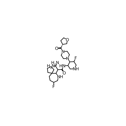 NC(N)C(C(=O)NC1CNCC(F)C1N1CCN(C(=O)[C@H]2CCOC2)CC1)C1NCC(F)CCC12CCCC2